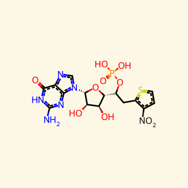 Nc1nc2c(ncn2[C@@H]2O[C@H](C(Cc3sccc3[N+](=O)[O-])OP(=O)(O)O)[C@@H](O)[C@H]2O)c(=O)[nH]1